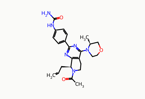 C=CC[C@H]1c2nc(-c3ccc(NC(N)=O)cc3)nc(N3CCOC[C@@H]3C)c2CCN1C(C)=O